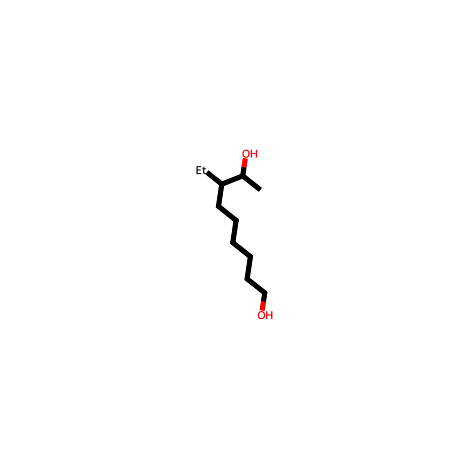 [CH2]CC(CCCCCCO)C(C)O